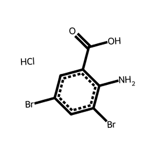 Cl.Nc1c(Br)cc(Br)cc1C(=O)O